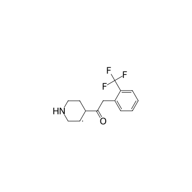 O=C(Cc1ccccc1C(F)(F)F)C1[CH]CNCC1